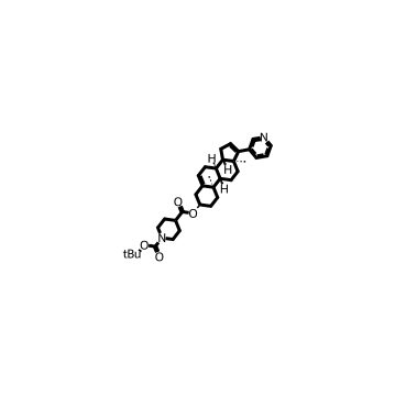 CC(C)(C)OC(=O)N1CCC(C(=O)O[C@H]2CC[C@@]3(C)C(=CC[C@@H]4[C@@H]3CC[C@]3(C)C(c5cccnc5)=CC[C@@H]43)C2)CC1